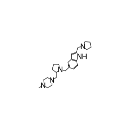 CN1CCN(CC2CCCN2Cc2ccc3[nH]c(CN4CCCC4)cc3c2)CC1